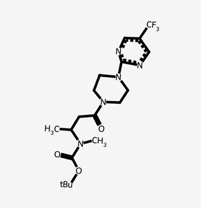 CC(CC(=O)N1CCN(c2ncc(C(F)(F)F)cn2)CC1)N(C)C(=O)OC(C)(C)C